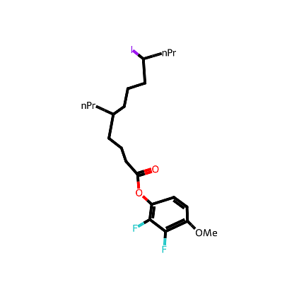 CCCC(I)CCCC(CCC)CCCC(=O)Oc1ccc(OC)c(F)c1F